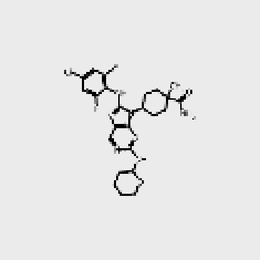 CC1(C(N)=O)CCC(n2c(Nc3c(F)cc(Cl)cc3F)nc3cnc(NC4CCCCO4)nc32)CC1